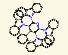 N#Cc1ccccc1-c1c(-n2c3ccccc3c3ccccc32)c(-n2c3ccccc3c3ccccc32)nc(-n2c3ccccc3c3ccccc32)c1-n1c2ccccc2c2ccccc21